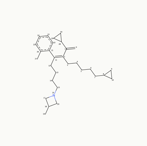 C=C(/C(CCCCCC1CC1)=C(/CCCCN1CC(C)C1)c1ccccc1C)C1CC1